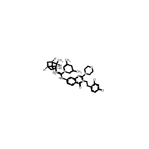 CC1CC(C)CN(/C(=N\[C@H]2C[C@@H]3C[C@H]([C@@H]2C)C3(C)C)Nc2ccc3c(=O)n(CCc4ccc(Cl)cc4Cl)c(N4CCOCC4)nc3c2)C1